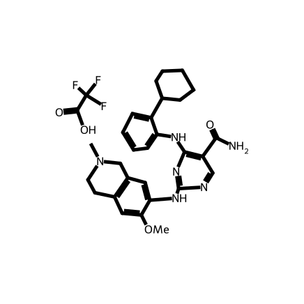 COc1cc2c(cc1Nc1ncc(C(N)=O)c(Nc3ccccc3C3CCCCC3)n1)CN(C)CC2.O=C(O)C(F)(F)F